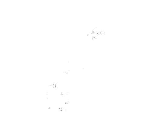 COc1ccc(NC(=O)CCOC2CCC3C4CCc5cc(OP(C)(=O)O)ccc5C4CCC23C)c(O)c1C(N)=O